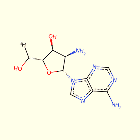 [2H]C(O)[C@H]1O[C@@H](n2cnc3c(N)ncnc32)[C@H](N)[C@@H]1O